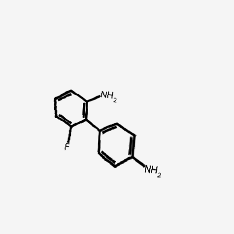 Nc1ccc(-c2c(N)cccc2F)cc1